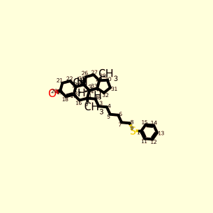 CC1(CCCCCCCSc2ccccc2)CC2=CC(=O)CC[C@]2(C)[C@@H]2CC[C@]3(C)CCC[C@H]3[C@@H]21